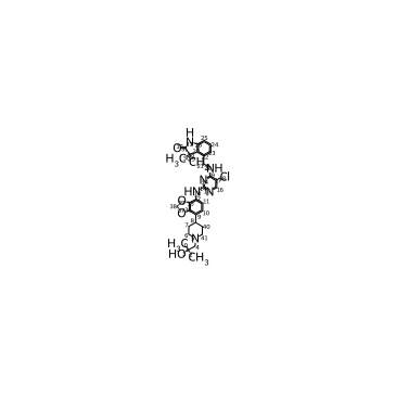 CC(C)(O)CN1CCC(c2ccc(Nc3ncc(Cl)c(NCc4cccc5c4C(C)(C)C(=O)N5)n3)c3c2OCO3)CC1